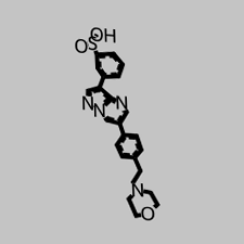 O=S(O)c1cccc(-c2cnn3cc(-c4ccc(CCN5CCOCC5)cc4)cnc23)c1